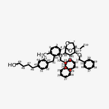 Cc1ccc([C@]23OC[C@](CI)(O2)[C@@H](OCc2ccccc2)[C@H](OCc2ccccc2)[C@H]3OCc2ccccc2)cc1Cc1ccc(CCCCO)cc1